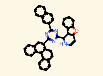 C1=Cc2oc3ccccc3c2C(c2nc(-c3ccc4ccccc4c3)nc(-c3cc4ccccc4c4c3ccc3ccccc34)n2)N1